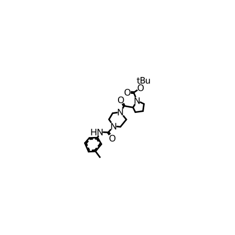 Cc1cccc(NC(=O)N2CCN(C(=O)C3CCCN3C(=O)OC(C)(C)C)CC2)c1